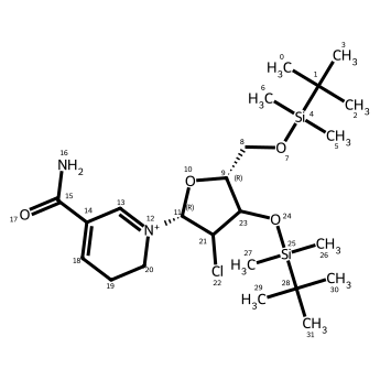 CC(C)(C)[Si](C)(C)OC[C@H]1O[C@@H]([N+]2=CC(C(N)=O)=CCC2)C(Cl)C1O[Si](C)(C)C(C)(C)C